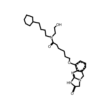 O=C1CN2Cc3cccc(OCCCCCC(=O)N(CCO)CCCCC4CCCCC4)c3N=C2N1